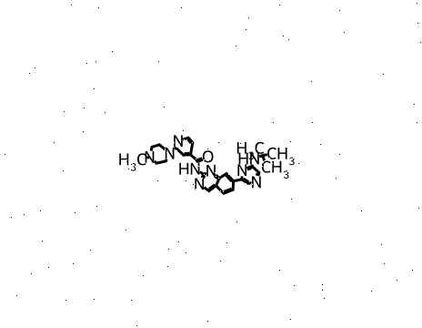 CN1CCN(c2cc(C(=O)Nc3ncc4ccc(-c5cncc(NC(C)(C)C)n5)cc4n3)ccn2)CC1